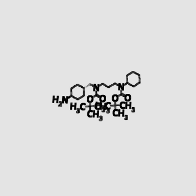 CC(C)(C)OC(=O)N(CCCN(C(=O)OC(C)(C)C)C1CCCCC1)C[C@H]1CC[C@H](N)CC1